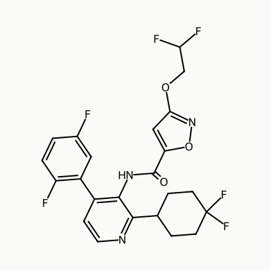 O=C(Nc1c(-c2cc(F)ccc2F)ccnc1C1CCC(F)(F)CC1)c1cc(OCC(F)F)no1